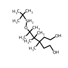 CC(C)(C)[SiH2]OC(C)(C)C(C)(C)C(C)(CCO)CCO